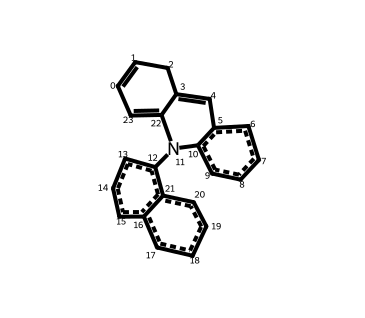 C1=CCC2=Cc3ccccc3N(c3cccc4ccccc34)C2=C1